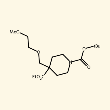 CCOC(=O)C1(COCCOC)CCN(C(=O)OC(C)(C)C)CC1